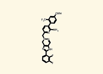 COc1ccc(-c2ccc(CN3Cc4nc(-c5cccc(F)c5F)[nH]c4C=N3)nc2N)c(C(F)(F)F)c1